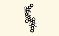 O=c1c(=NC2=CC3=C(c4sc5c(sc6cc(N=c7c(=O)c8cc9ccccc9cc8c7=O)sc65)c4C34CCCCC4)C23CCCCC3)c(=O)c2cc3ccccc3cc12